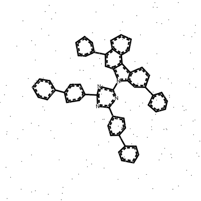 c1ccc(-c2ccc(-c3nc(-c4ccc(-c5ccccc5)cc4)nc(-n4c5cc(-c6ccccc6)ccc5c5c6ccccc6c(-c6ccccc6)cc54)n3)cc2)cc1